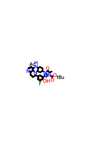 CC(=O)c1cnc2ccc(-c3cc(F)c(O)c(Cl)c3)nc2c1NC1CCC(NC(=O)C(C)NC(=O)OC(C)(C)C)CC1